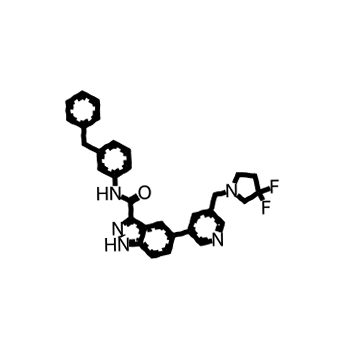 O=C(Nc1cccc(Cc2ccccc2)c1)c1n[nH]c2ccc(-c3cncc(CN4CCC(F)(F)C4)c3)cc12